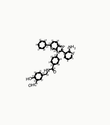 Nc1ncccc1-c1nc2ccc(-c3ccccc3)nc2n1-c1ccc(C(=O)NCc2ccc(O)c(C=O)c2)cc1